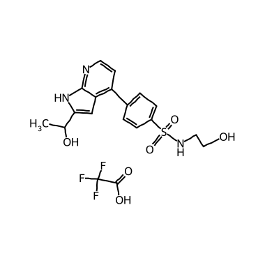 CC(O)c1cc2c(-c3ccc(S(=O)(=O)NCCO)cc3)ccnc2[nH]1.O=C(O)C(F)(F)F